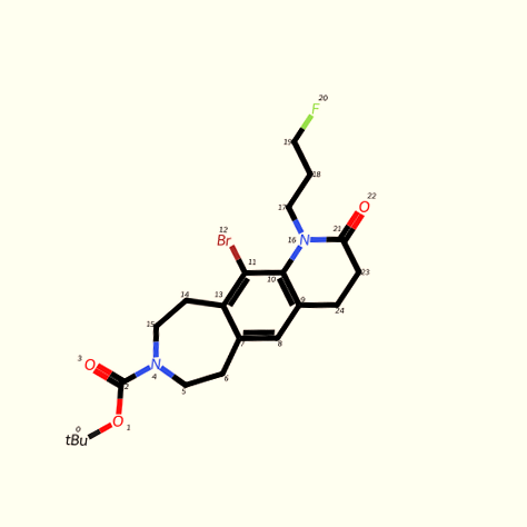 CC(C)(C)OC(=O)N1CCc2cc3c(c(Br)c2CC1)N(CCCF)C(=O)CC3